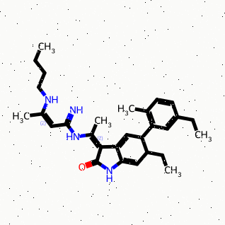 CCCCN/C(C)=C\C(=N)N/C(C)=C1\C(=O)NC2=CC(CC)C(c3cc(CC)ccc3C)C=C21